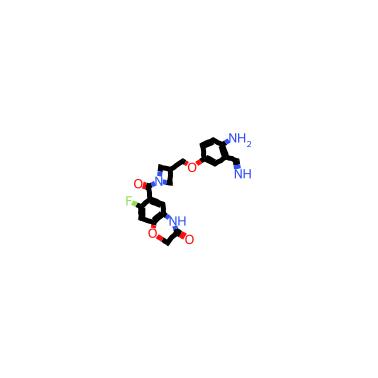 N=Cc1cc(OCC2CN(C(=O)c3cc4c(cc3F)OCC(=O)N4)C2)ccc1N